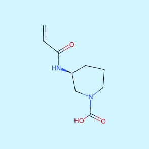 C=CC(=O)N[C@H]1CCCN(C(=O)O)C1